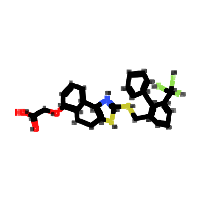 O=C(O)COc1cccc2c1CCc1sc(SCc3cccc(C(F)(F)F)c3-c3ccccc3)nc1-2